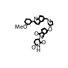 CO[C@H]1CCC[C@@H](c2ccc3cc(CN4CC[C@H](Oc5ccc6c(c5)CN(C5CCC(=O)NC5=O)C6=O)C4)ccc3n2)C1